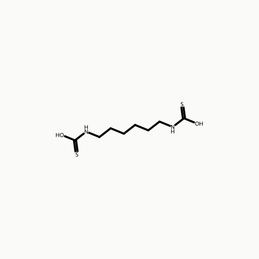 OC(=S)NCCCCCCNC(O)=S